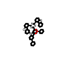 c1ccc(-c2cccc(-c3nc(-c4cccc5oc6ccc(-n7c8ccccc8c8cc(-c9ccccc9)ccc87)cc6c45)nc(-c4cccc5sc6ccccc6c45)n3)c2)cc1